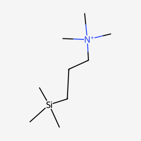 C[N+](C)(C)CCC[Si](C)(C)C